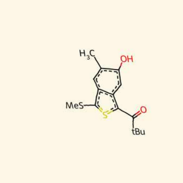 CSc1sc(C(=O)C(C)(C)C)c2cc(O)c(C)cc12